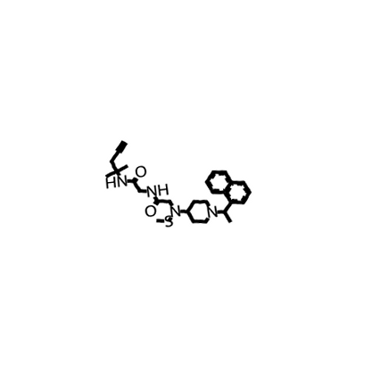 C#CCC(C)(C)NC(=O)CNC(=O)CN(SC)C1CCN(C(C)c2cccc3ccccc23)CC1